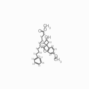 COC(=O)CCCCN(CCCc1ccccc1)C(=O)C1(c2ccc(OC)cc2)CC(O)C1